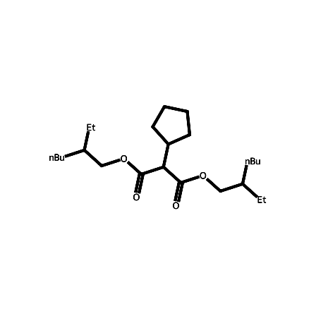 CCCCC(CC)COC(=O)C(C(=O)OCC(CC)CCCC)C1CCCC1